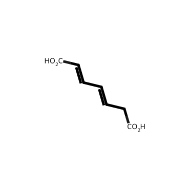 O=C(O)C=CC=CCC(=O)O